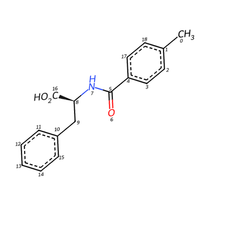 Cc1ccc(C(=O)N[C@@H](Cc2ccccc2)C(=O)O)cc1